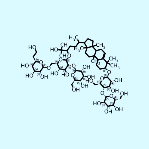 CC(CCC(O[C@@H]1O[C@H](CO[C@@H]2O[C@H](CCO)[C@@H](O)[C@H](O)[C@H]2O)[C@@H](O)[C@H](O)[C@H]1O[C@@H]1O[C@H](CO)[C@@H](O)[C@H](O)[C@H]1O)C(C)(C)O)C1CCC2(C)C3CC=C4C(CC[C@H](O[C@@H]5O[C@H](CO)[C@@H](O[C@@H]6O[C@H](CO)[C@@H](O)[C@H](O)[C@H]6O)[C@H](O)[C@H]5O)C4(C)C)C3(C)CCC12C